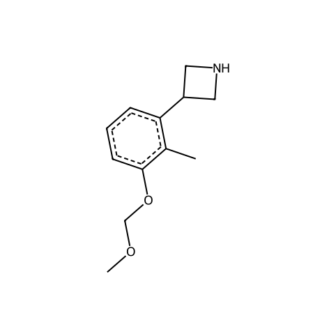 COCOc1cccc(C2CNC2)c1C